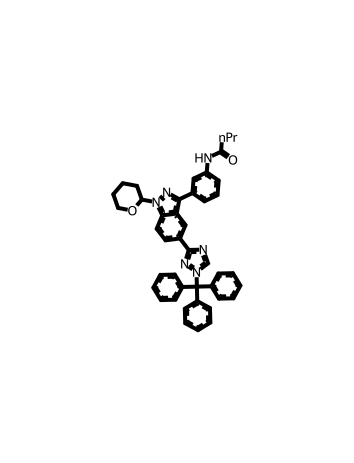 CCCC(=O)Nc1cccc(-c2nn(C3CCCCO3)c3ccc(-c4ncn(C(c5ccccc5)(c5ccccc5)c5ccccc5)n4)cc23)c1